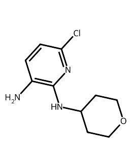 Nc1ccc(Cl)nc1NC1CCOCC1